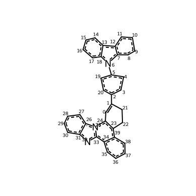 C1=C(c2ccc(-n3c4ccccc4c4ccccc43)cc2)CCc2c1n1c3ccccc3nc1c1ccccc21